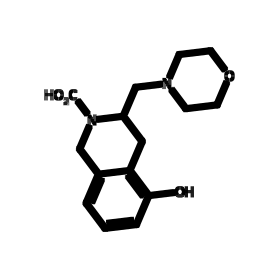 O=C(O)N1Cc2cccc(O)c2CC1CN1CCOCC1